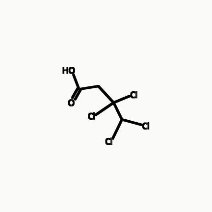 O=C(O)CC(Cl)(Cl)C(Cl)Cl